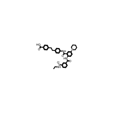 CCN[S+]([O-])c1cccc(C(=O)Nc2ccc(N3CCCCC3)cc2C(=O)Nc2ccc(CCc3ccc(C(=O)O)cc3)cc2)c1